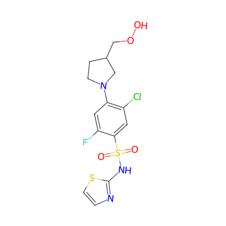 O=S(=O)(Nc1nccs1)c1cc(Cl)c(N2CCC(COO)C2)cc1F